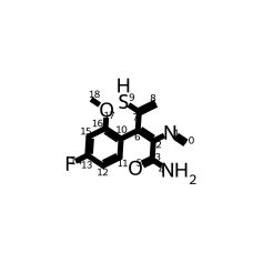 C=N/C(C(N)=O)=C(\C(=C)S)c1ccc(F)cc1OC